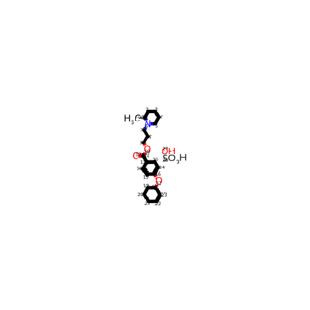 C[C@@H]1CCCCN1CCCOC(=O)c1ccc(OC2CCCCC2)cc1.O=S(=O)(O)O